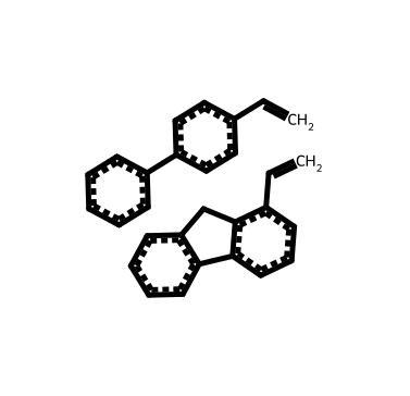 C=Cc1ccc(-c2ccccc2)cc1.C=Cc1cccc2c1Cc1ccccc1-2